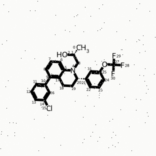 C[C@@H](O)CN1c2cccc(-c3cccc(Cl)c3)c2CC[C@H]1c1cccc(OC(F)(F)F)c1